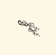 C=C(NC(/C=C\C(=C)N(C)C(=C)CN(C)CCN(C)CC)=C/C)c1ccccc1